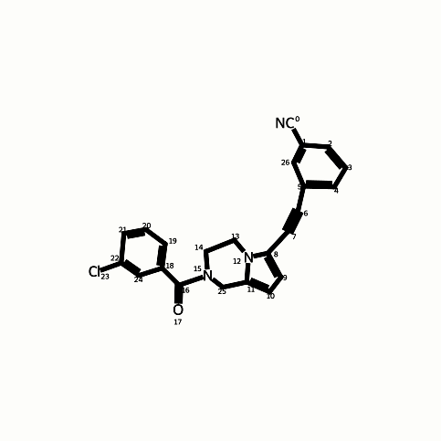 N#Cc1cccc(C#Cc2ccc3n2CCN(C(=O)c2cccc(Cl)c2)C3)c1